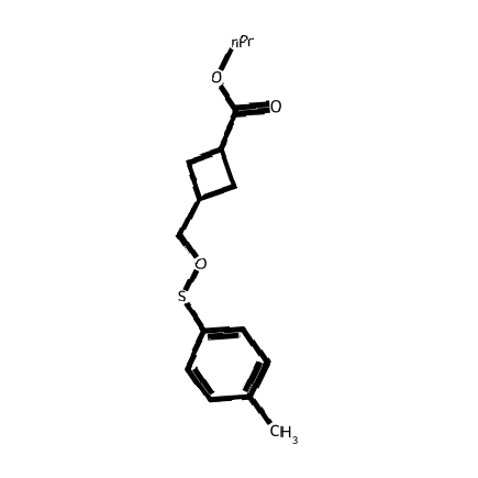 CCCOC(=O)C1CC(COSc2ccc(C)cc2)C1